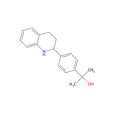 CC(C)(O)c1ccc(C2CCc3ccccc3N2)cc1